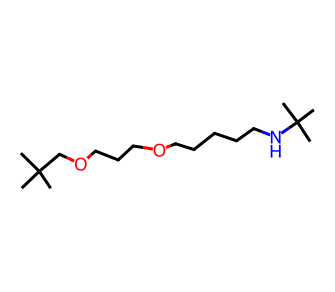 CC(C)(C)COCCCOCCCCCNC(C)(C)C